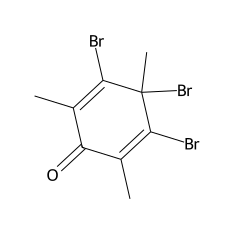 CC1=C(Br)C(C)(Br)C(Br)=C(C)C1=O